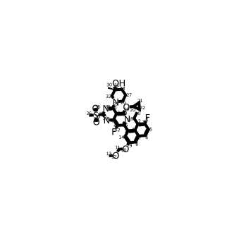 CCc1c(F)ccc2cc(OCOC)cc(-c3nc(OC4CC4)c4c(N5CCC[C@@](C)(O)C5)nc(S(C)(=O)=O)nc4c3F)c12